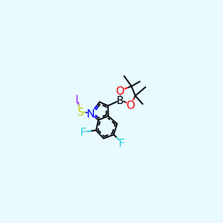 CC1(C)OB(c2cn(SI)c3c(F)cc(F)cc23)OC1(C)C